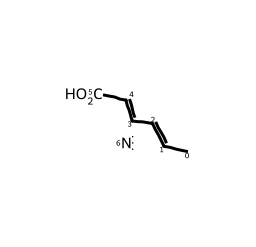 CC=CC=CC(=O)O.[N]